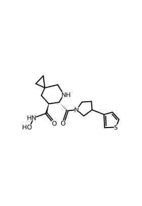 O=C(NO)[C@H]1CC2(CC2)CN[C@@H]1C(=O)N1CCC(c2ccsc2)C1